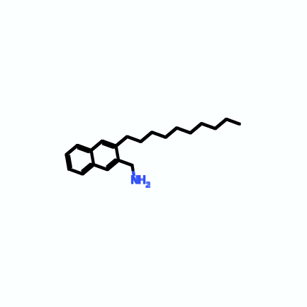 CCCCCCCCCCc1cc2ccccc2cc1CN